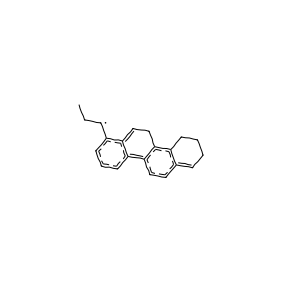 CC[CH]c1cccc2c1=CCc1c3c(ccc1=2)=CCCC3